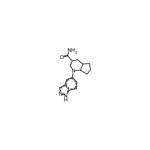 NC(=O)C1CC2CCCC2N(c2ccc3[nH]ncc3c2)C1